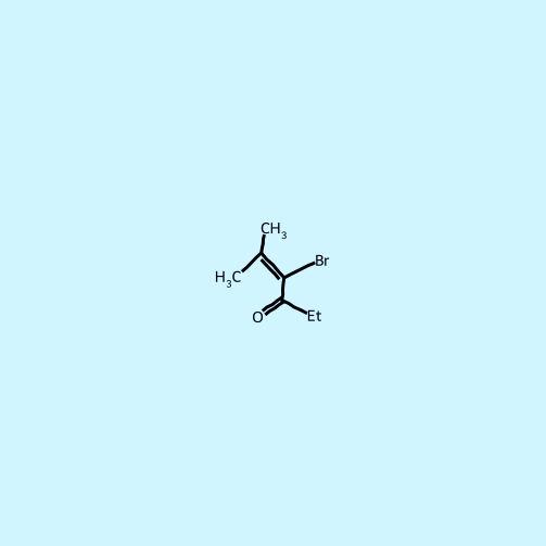 CCC(=O)C(Br)=C(C)C